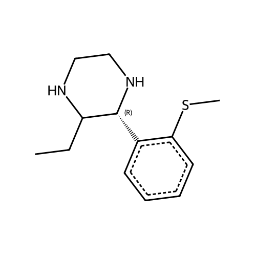 CCC1NCCN[C@@H]1c1ccccc1SC